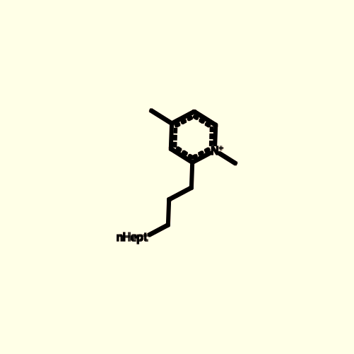 CCCCCCCCCCc1cc(C)cc[n+]1C